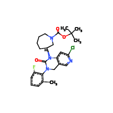 Cc1cccc(F)c1N1Cc2cnc(Cl)cc2N([C@H]2CCCCN(C(=O)OC(C)(C)C)C2)C1=O